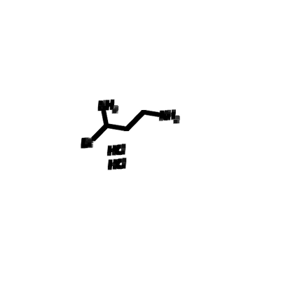 CCC(N)CCN.Cl.Cl